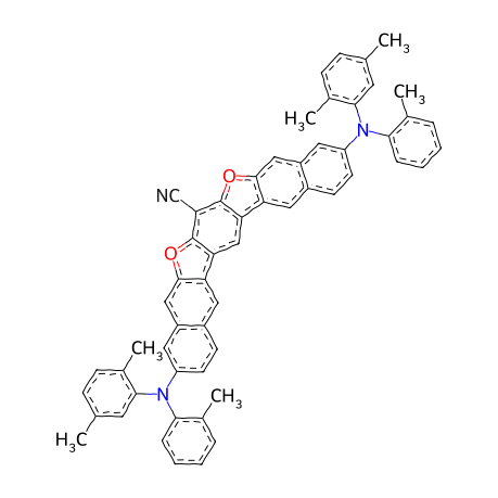 Cc1ccc(C)c(N(c2ccc3cc4c(cc3c2)oc2c(C#N)c3oc5cc6cc(N(c7ccccc7C)c7cc(C)ccc7C)ccc6cc5c3cc24)c2ccccc2C)c1